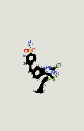 NS(=O)(=O)c1ccc(Cc2ccc3c(c2)N=C(Cl)N[C@]3(C#CC2CC2)C(F)(F)F)cc1